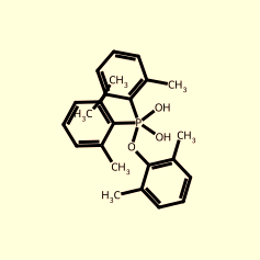 Cc1cccc(C)c1OP(O)(O)(c1c(C)cccc1C)c1c(C)cccc1C